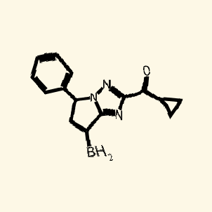 BC1CC(c2ccccc2)n2nc(C(=O)C3CC3)nc21